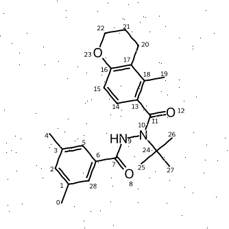 Cc1cc(C)cc(C(=O)NN(C(=O)c2ccc3c(c2C)CCCO3)C(C)(C)C)c1